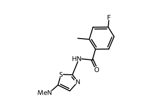 CNc1cnc(NC(=O)c2ccc(F)cc2C)s1